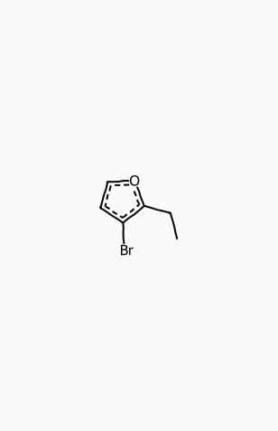 CCc1occc1Br